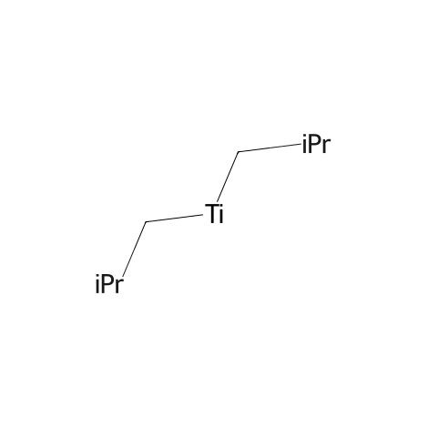 CC(C)[CH2][Ti][CH2]C(C)C